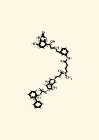 CN(CCCC(=O)Nc1cccc(CNC[C@H](O)c2ccc(O)c3[nH]c(=O)sc23)c1)C(=O)CCN1C[C@H]2C[C@H](OC(=O)Nc3ccccc3-c3ccccc3)C[C@H]2C1